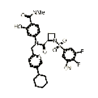 CNC(=O)c1ccc(N(Cc2ccc(C3CCCCC3)cn2)C(=O)[C@H]2CCN2S(=O)(=O)c2cc(F)c(F)c(C#N)c2)cc1O